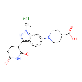 Cl.Cn1nc(C2CCC(=O)NC2=O)c2ccc(N3CCC(C(=O)O)CC3)cc21